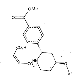 CCO[C@H]1CCN[C@H](c2ccc(C(=O)OC)cc2)C1.O=C(O)/C=C\C(=O)O